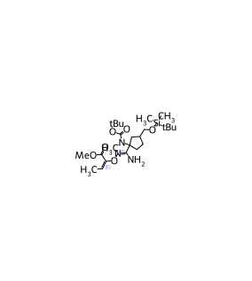 C/C=C(/O/N=C(\N)C1(N(C)C(=O)OC(C)(C)C)CCC(CO[Si](C)(C)C(C)(C)C)C1)C(=O)OC